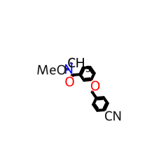 CON(C)C(=O)c1cccc(OCc2ccc(C#N)cc2)c1